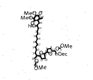 CCCCCCCCCCC(OCOC)C1CCC(C2CCC(C(CCCCCCCCCCC(O)CC3=C(C)C(=O)C(OC)=C(OC)C3=O)COCOC)O2)O1